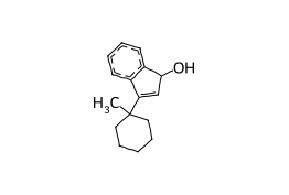 CC1(C2=CC(O)c3ccccc32)CCCCC1